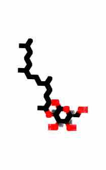 CC(C)CCCC(C)CCCC(C)CCCC(C)O[C@H]1C(O)O[C@H](CO)[C@@H](O)[C@@H]1O